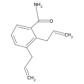 C=CCc1cccc(C(N)=O)c1CC=C